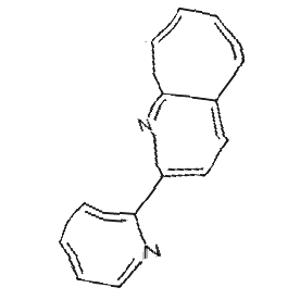 [c]1cccc2ccc(-c3ccccn3)nc12